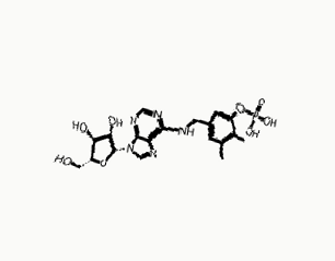 Cc1cc(CNc2ncnc3c2ncn3[C@@H]2O[C@H](CO)[C@@H](O)[C@H]2O)cc(OP(=O)(O)O)c1C